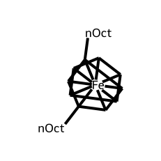 CCCCCCCC[C]12[CH]3[CH]4[C]5(CCCCCCCC)[CH]1[Fe]34251678[CH]2[CH]1[CH]6[CH]7[CH]28